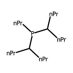 CCCC(CCC)P(CCC)C(CCC)CCC